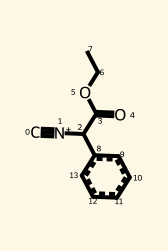 [C-]#[N+]C(C(=O)OCC)c1ccccc1